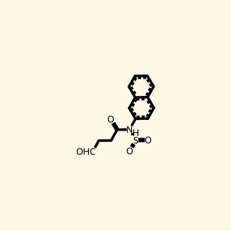 O=CCCC(=O)N(c1ccc2ccccc2c1)[SH](=O)=O